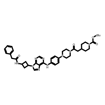 CC(C)(C)OC(=O)N1CCC(CC(=O)N2CCN(c3ccc(Nc4ncnc5c4ncn5C4CC(NC(=O)Cc5ccccc5)C4)cc3)CC2)CC1